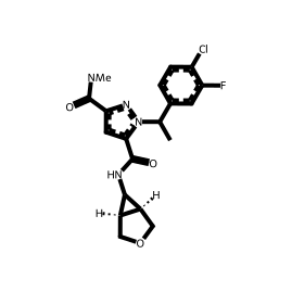 CNC(=O)c1cc(C(=O)NC2[C@H]3COC[C@@H]23)n(C(C)c2ccc(Cl)c(F)c2)n1